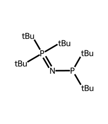 CC(C)(C)P(N=P(C(C)(C)C)(C(C)(C)C)C(C)(C)C)C(C)(C)C